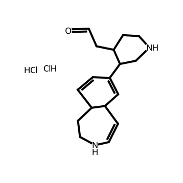 Cl.Cl.O=CCC1CCNCC1C1=CC2C=CNCCC2C=C1